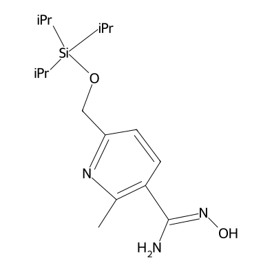 Cc1nc(CO[Si](C(C)C)(C(C)C)C(C)C)ccc1/C(N)=N/O